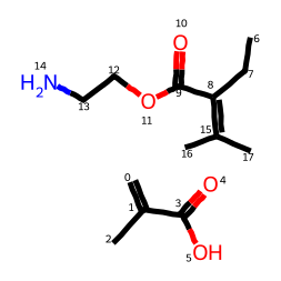 C=C(C)C(=O)O.CCC(C(=O)OCCN)=C(C)C